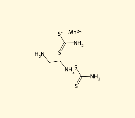 NC(=S)[S-].NC(=S)[S-].NCCN.[Mn+2]